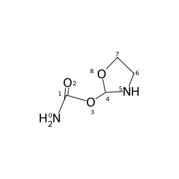 NC(=O)OC1NCCO1